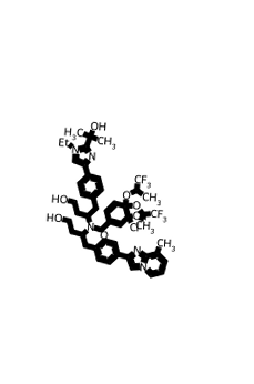 CCn1cc(-c2ccc(CC(CCO)N(C(=O)C3=CC(Cl)(C#N)C(OC(C)C(F)(F)F)(OC(C)C(F)(F)F)C=C3)C(CCO)Cc3ccc(-c4cn5cccc(C)c5n4)cc3)cc2)nc1C(C)(C)O